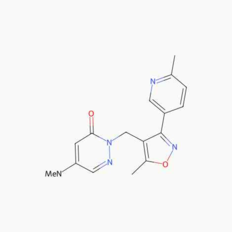 CNc1cnn(Cc2c(-c3ccc(C)nc3)noc2C)c(=O)c1